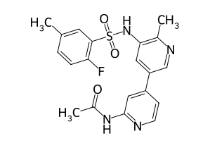 CC(=O)Nc1cc(-c2cnc(C)c(NS(=O)(=O)c3cc(C)ccc3F)c2)ccn1